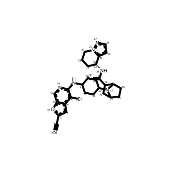 N#Cc1cc2c(Br)c(NC3CCC(N4C5CCC4C(C(=O)N[C@@H]4CCCn6nccc64)C5)CC3)ncc2o1